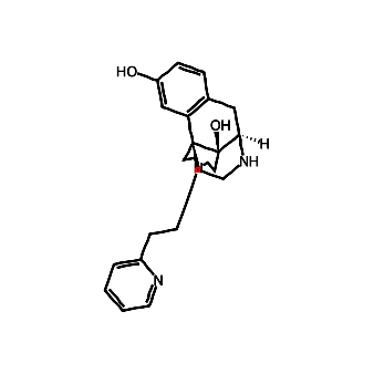 Oc1ccc2c(c1)[C@]13CCN[C@H](C2)[C@]1(O)CCN(CCc1ccccn1)CC3